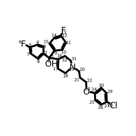 OC(c1ccc(F)cc1)(c1ccc(F)cc1)C1CCN(CCCOc2ccc(Cl)cc2)CC1